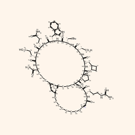 CC(C)(C)C[C@@H]1NC(=O)[C@H](CC(=O)O)NC(=O)[C@H](CC2CCC2)NC(=O)[C@@H]2CCCN2C(=O)[C@@H]2CSCc3cc(cc(c3)OCCCCCCO/N=C/C(=O)N[C@@H](CCCNC(=N)N)C(=O)N2)CSC[C@@H](C(N)=O)NC(=O)[C@H](CCC(=O)O)NC(=O)[C@H](CCC(N)=O)NC(=O)[C@H](Cc2c[nH]c3ccccc23)NC1=O